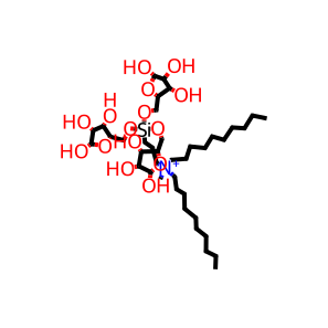 CCCCCCCCCC[N+](C)(CCCCCCCCCC)CCC[Si](OCC1OC(O)C(O)C1O)(OCC1OC(O)C(O)C1O)OCC1OC(O)C(O)C1O